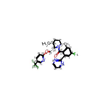 Cc1cc(F)cc(-c2ncccn2)c1C(=O)N1CCC[C@@H](C)[C@H]1COc1ccc(C(F)(F)F)cn1